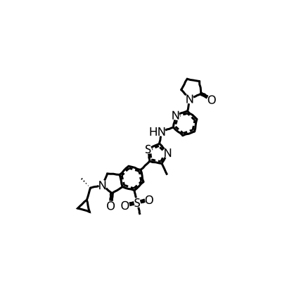 Cc1nc(Nc2cccc(N3CCCC3=O)n2)sc1-c1cc2c(c(S(C)(=O)=O)c1)C(=O)N([C@@H](C)C1CC1)C2